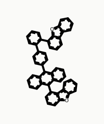 c1ccc(-c2cccc3c2oc2ccccc23)c(-c2ccc(-c3c4ccccc4c(-c4cccc5oc6ccccc6c45)c4ccccc34)cc2)c1